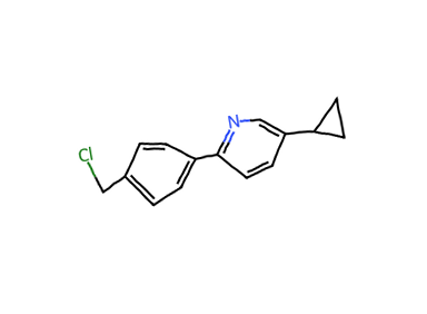 ClCc1ccc(-c2ccc(C3CC3)cn2)cc1